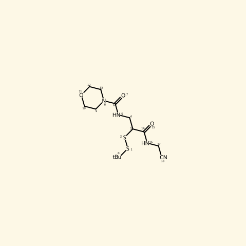 CC(C)(C)SSC(CNC(=O)N1CCOCC1)C(=O)NCC#N